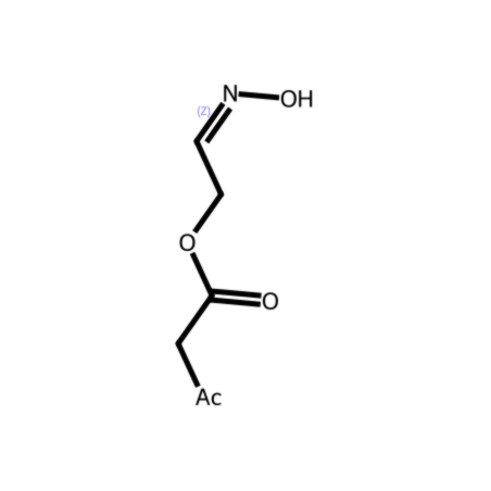 CC(=O)CC(=O)OC/C=N\O